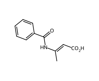 CC(=CC(=O)O)NC(=O)c1ccccc1